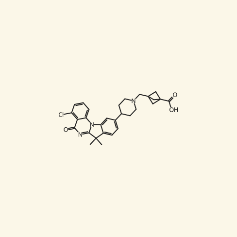 CC1(C)c2ccc(C3CCN(CC45CC(C(=O)O)(C4)C5)CC3)cc2-n2c1nc(=O)c1c(Cl)cccc12